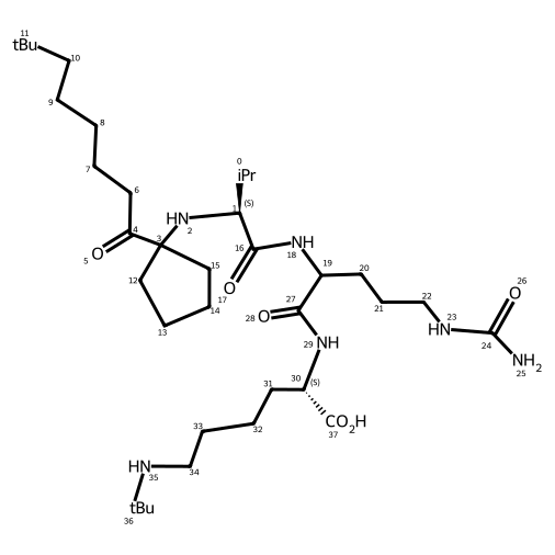 CC(C)[C@H](NC1(C(=O)CCCCCC(C)(C)C)CCCC1)C(=O)NC(CCCNC(N)=O)C(=O)N[C@@H](CCCCNC(C)(C)C)C(=O)O